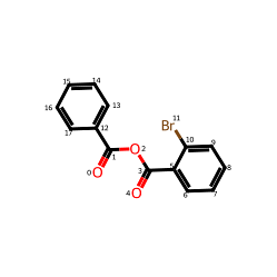 O=C(OC(=O)c1ccccc1Br)c1ccccc1